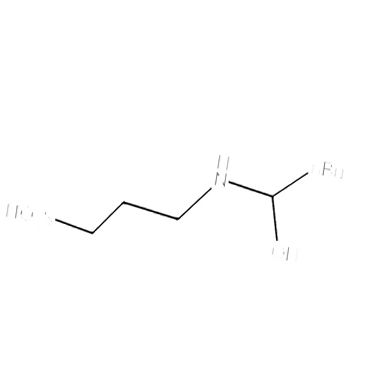 CCCCC(O)NCCCS(=O)(=O)O